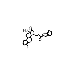 C[C@]12CCC3c4cccc(F)c4CCC3C1[C@H](CCC(=O)N1Cc3ccccc3C1)CC2=O